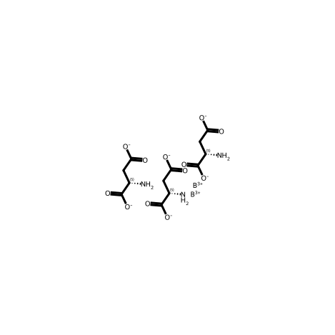 N[C@@H](CC(=O)[O-])C(=O)[O-].N[C@@H](CC(=O)[O-])C(=O)[O-].N[C@@H](CC(=O)[O-])C(=O)[O-].[B+3].[B+3]